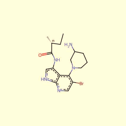 CC[C@@H](C)C(=O)Nc1c[nH]c2ncc(Br)c(N3CCCC(N)C3)c12